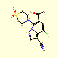 CC(=O)c1cc(Cl)c2c(C#N)cnn2c1N1CCS(=O)(=O)CC1